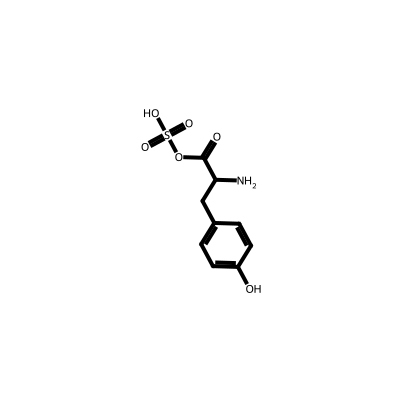 NC(Cc1ccc(O)cc1)C(=O)OS(=O)(=O)O